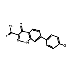 O=C(O)c1n[nH]c2cc(-c3ccc(Cl)cc3)ccc2c1=O